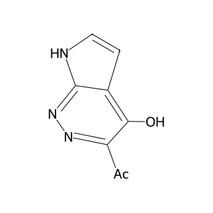 CC(=O)c1nnc2[nH]ccc2c1O